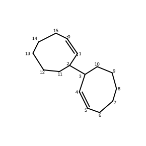 [C]1=[C]\C(C2/C=C\CCCCC2)CCCCC/1